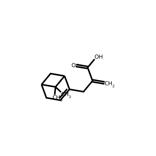 C=C(CC1=CCC2CC1C2(C)C)C(=O)O